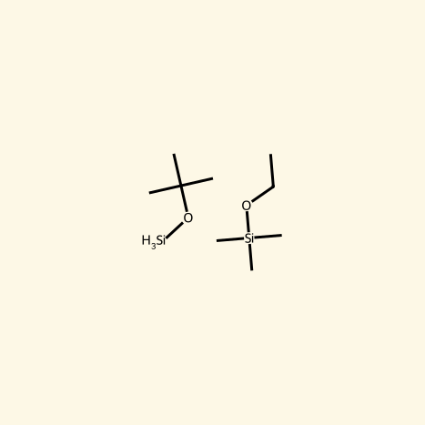 CC(C)(C)O[SiH3].CCO[Si](C)(C)C